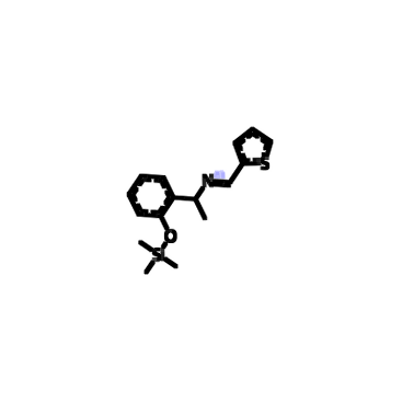 CC(/N=C/c1cccs1)c1ccccc1O[Si](C)(C)C